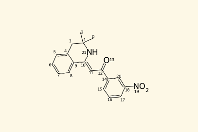 CC1(C)Cc2ccccc2C(=CC(=O)c2cccc([N+](=O)[O-])c2)N1